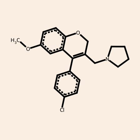 COc1ccc2c(c1)C(c1ccc(Cl)cc1)=C(CN1CCCC1)CO2